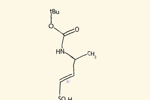 CC(/C=C/S(=O)(=O)O)NC(=O)OC(C)(C)C